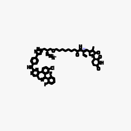 C=C/C(=C\C1=C(C)C(=O)N(C2CCC(=O)NC2=O)C1)NC(=O)CCCCCCCOCC(Cn1cc(-c2ccc(Nc3ncc4c(n3)-c3ccc(Cl)cc3C(c3c(F)cccc3F)=NC4)cc2)nn1)N=[N+]=[N-]